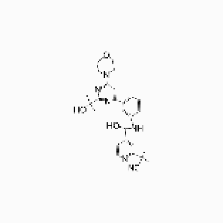 Cc1ccc(NC(O)c2ccnc(C(C)(C)C#N)c2)cc1-c1cc(N2CCOCC2)nc(C(C)(C)O)n1